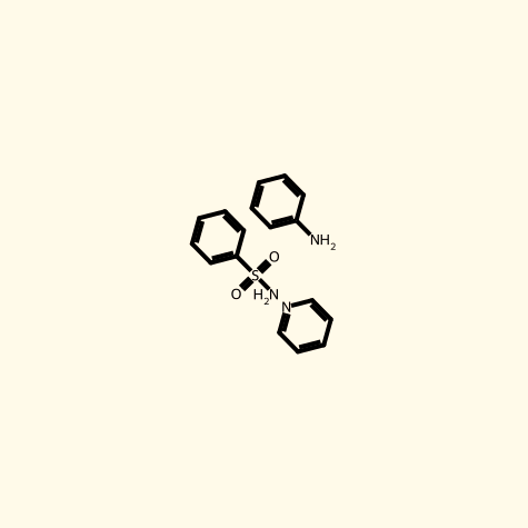 NS(=O)(=O)c1ccccc1.Nc1ccccc1.c1ccncc1